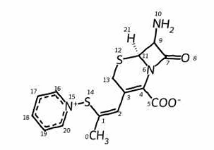 CC(=CC1=C(C(=O)[O-])N2C(=O)C(N)[C@@H]2SC1)S[n+]1ccccc1